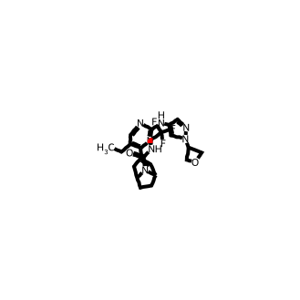 CCc1cnc(Nc2cnn(C3COC3)c2)nc1C1=CC2CCC(C1)N2C(=O)NCC(F)(F)F